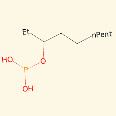 CCCCCCCC(CC)OP(O)O